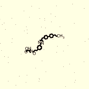 CCCC1CCC(C2CC=C(Cc3cnc(C4=CC=CC(CCC(=O)N5CC(C(=O)O)C5)C=C4)nc3)CC2)CC1